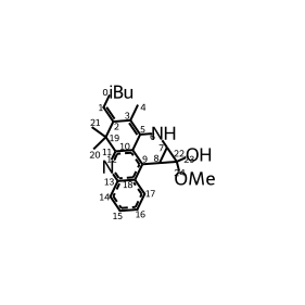 CCC(C)/C=C1\C(C)=C2NC3C(c4c2c(nc2ccccc42)C1(C)C)C3(O)OC